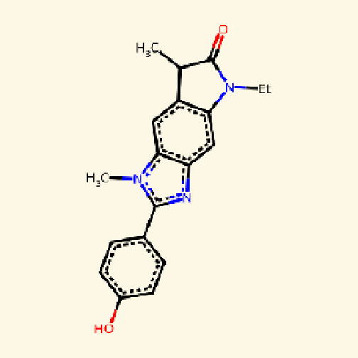 CCN1C(=O)C(C)c2cc3c(cc21)nc(-c1ccc(O)cc1)n3C